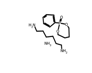 N.NCCCCCCN.O=P1(c2ccccc2)OCCCCO1